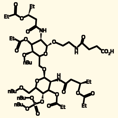 CCCCOCC1O[C@@H](OCC2O[C@@H](OCCNC(=O)CCC(=O)O)[C@@H](NC(=O)C[C@@H](CC)OC(=O)CC)C(OC(=O)CC)[C@@H]2OCCCC)[C@@H](NC(=O)C[C@@H](CC)OC(=O)CC)C(OC(=O)CC)[C@@H]1OP(=O)(OCCCC)OCCCC